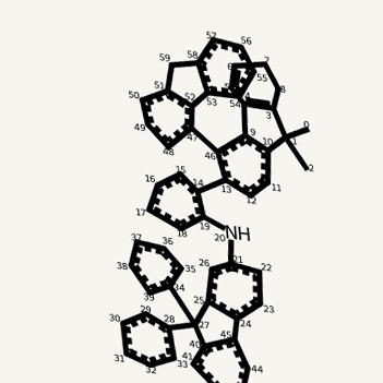 CC1(C)C2=C(C=CCC2)c2c1ccc(-c1ccccc1Nc1ccc3c(c1)C(c1ccccc1)(c1ccccc1)c1ccccc1-3)c2-c1cccc2c1-c1ccccc1C2